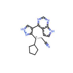 N#CC[C@@H](c1n[nH]cc1-c1ncnc2[nH]ccc12)C1CCCC1